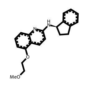 COCCOc1cccc2nc(N[C@@H]3CCc4ccccc43)ccc12